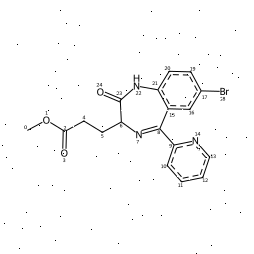 COC(=O)CCC1N=C(c2ccccn2)c2cc(Br)ccc2NC1=O